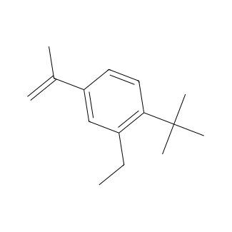 C=C(C)c1ccc(C(C)(C)C)c(CC)c1